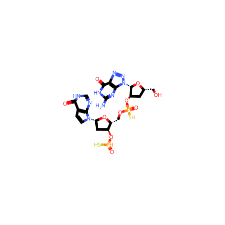 Nc1nc2c(nnn2[C@@H]2O[C@H](CO)C[C@H]2OP(=O)(S)OC[C@H]2O[C@@H](n3ccc4c(=O)[nH]cnc43)C[C@@H]2O[PH](=O)S)c(=O)[nH]1